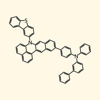 c1ccc(-c2cccc(N(c3ccccc3)c3ccc(-c4ccc5cc6c(cc5c4)-c4cccc5cccc(c45)N6c4ccc5sc6ccccc6c5c4)cc3)c2)cc1